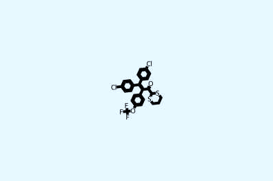 O=C(C(=C(c1ccc(Cl)cc1)c1ccc(Cl)cc1)c1ccc(OC(F)(F)F)cc1)C1SCCCS1